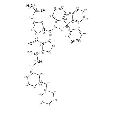 CC(=O)O[C@H]1C[C@@H](C(=O)N2CCC[C@@H]2C(=O)NC[C@H]2CCCN(CC3CCCCC3)C2)N(OCCC(c2ccccc2)(c2ccccc2)c2ccccc2)C1